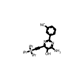 CC(C)[Si](C#Cc1nc(-c2cccc(C#N)c2)nc(N)c1O)(C(C)C)C(C)C